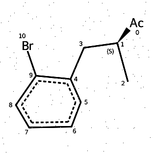 CC(=O)[C@@H](C)Cc1ccccc1Br